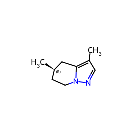 Cc1cnn2c1C[C@H](C)CC2